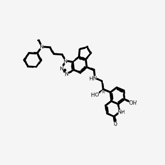 CN(CCCn1nnc2cc(CNC[C@H](O)c3ccc(O)c4[nH]c(=O)ccc34)c3c(c21)CCC3)C1CCCCC1